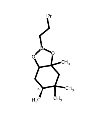 CC(C)CCB1OC2C[C@H](C)C(C)(C)CC2(C)O1